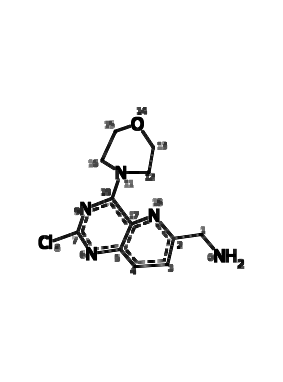 NCc1ccc2nc(Cl)nc(N3CCOCC3)c2n1